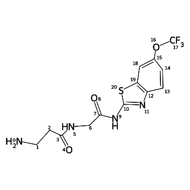 NCCC(=O)NCC(=O)Nc1nc2ccc(OC(F)(F)F)cc2s1